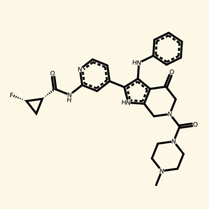 CN1CCN(C(=O)N2CC(=O)c3c([nH]c(-c4ccnc(NC(=O)[C@@H]5C[C@@H]5F)c4)c3Nc3ccccc3)C2)CC1